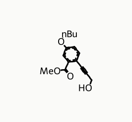 CCCCOc1ccc(C#CCO)c(C(=O)OC)c1